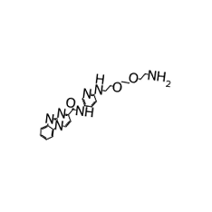 NCCOCCOCCNc1ccc(NC(=O)c2ccn3c(n2)nc2ccccc23)cn1